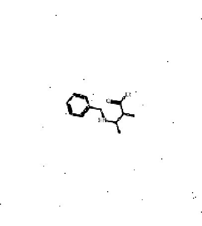 CCC(=O)C(C)C(C)NCc1ccccc1